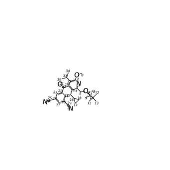 COc1nc(CO[Si](C)(C)C(C)(C)C)c(CC2CC2)c(C(=O)c2cc(C#N)cc(C#N)c2)c1C(C)C